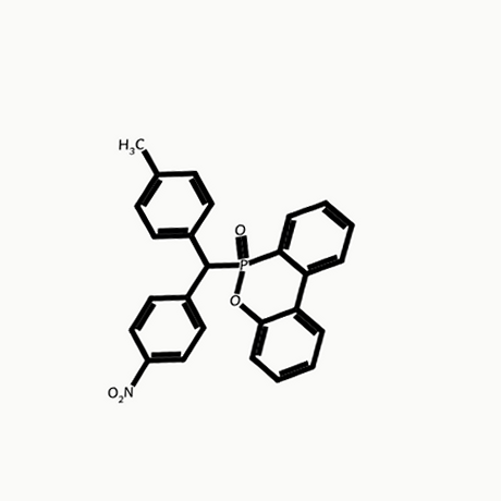 Cc1ccc(C(c2ccc([N+](=O)[O-])cc2)P2(=O)Oc3ccccc3-c3ccccc32)cc1